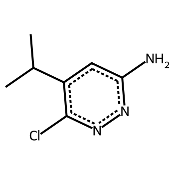 CC(C)c1cc(N)nnc1Cl